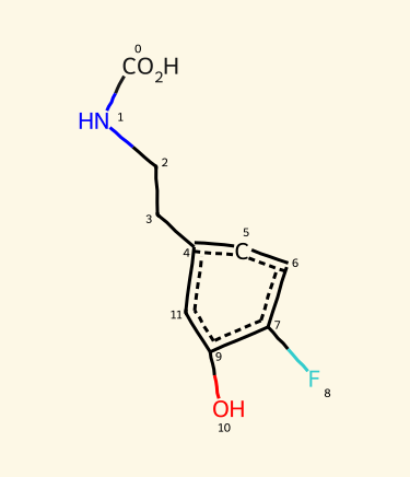 O=C(O)NCCc1ccc(F)c(O)c1